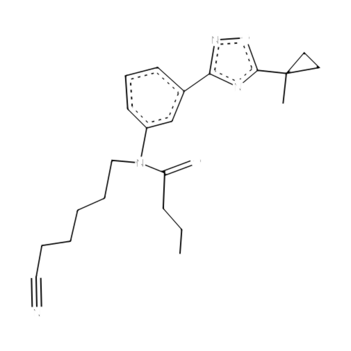 CCCC(=O)N(CCCCCC#N)c1cccc(-c2noc(C3(C)CC3)n2)c1